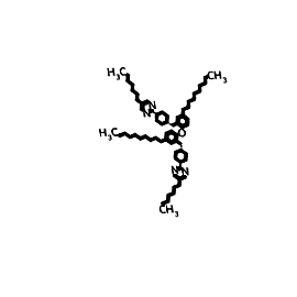 CCCCCCCCCCc1ccc(Oc2ccc(CCCCCCCCCC)cc2C[C@H]2CC[C@H](c3ncc(CCCCCCC)cn3)CC2)c(C[C@H]2CC[C@H](c3ncc(CCCCCCC)cn3)CC2)c1